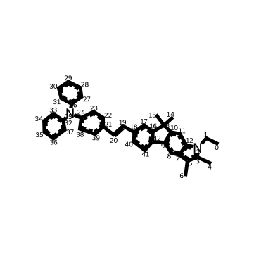 CCn1c(C)c(C)c2cc3c(cc21)C(C)(C)c1cc(/C=C/c2ccc(N(c4ccccc4)c4ccccc4)cc2)ccc1-3